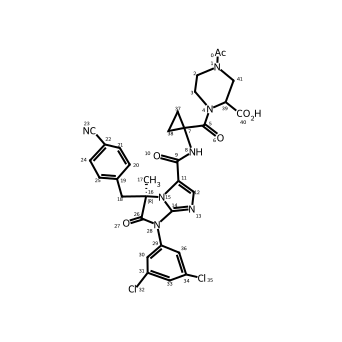 CC(=O)N1CCN(C(=O)C2(NC(=O)c3cnc4n3[C@](C)(Cc3ccc(C#N)cc3)C(=O)N4c3cc(Cl)cc(Cl)c3)CC2)C(C(=O)O)C1